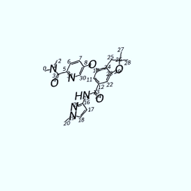 CN(C)C(=O)c1ccc(Oc2cc(C(=O)Nc3ccn(C)n3)cc3c2CC(C)(C)O3)cn1